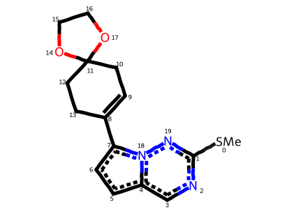 CSc1ncc2ccc(C3=CCC4(CC3)OCCO4)n2n1